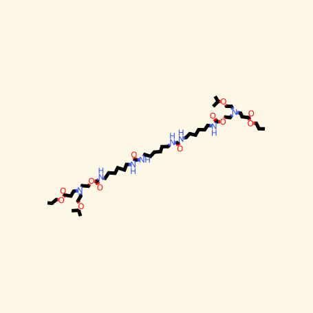 CCCOC(=O)CCN(CCOC(=O)NCCCCCCNC(=O)NCCCCCCNC(=O)NCCCCCCNC(=O)OCCN(CCOC(C)C)CCC(=O)OCCC)CCOC(C)C